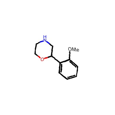 COc1ccccc1[C]1CNCCO1